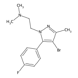 Cc1nn(CCN(C)C)c(-c2ccc(F)cc2)c1Br